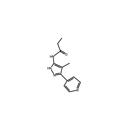 CCC(=O)Nc1[nH]nc(-c2ccncc2)c1C